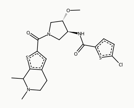 CO[C@H]1CN(C(=O)c2cc3c(s2)C(C)N(C)CC3)C[C@@H]1NC(=O)c1ccc(Cl)s1